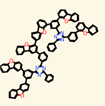 c1ccc(-c2nc(-c3cccc(-c4cc(-c5ccc6c(c5)oc5c(-c7cc(-c8nc(-c9ccccc9)nc(-c9cccc(-c%10cccc%11c%10oc%10ccccc%10%11)c9)n8)cc(-c8cccc9c8oc8ccccc89)c7)cccc56)c5oc6ccccc6c5c4)c3)nc(-c3cc(-c4ccc5oc6ccccc6c5c4)cc(-c4ccc5oc6ccccc6c5c4)c3)n2)cc1